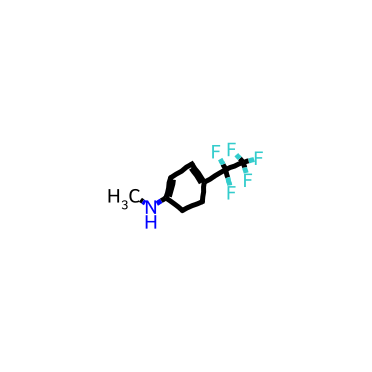 CNC1=CC=C(C(F)(F)C(F)(F)F)CC1